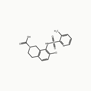 Cc1cccnc1S(=O)(=O)Nc1c(Cl)ccc2c1CN(C(=O)O)CC2